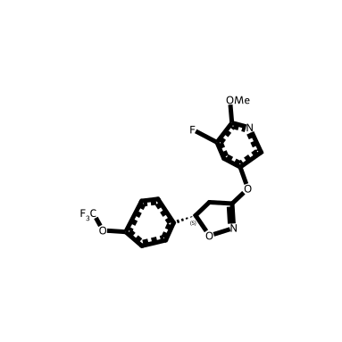 COc1ncc(OC2=NO[C@H](c3ccc(OC(F)(F)F)cc3)C2)cc1F